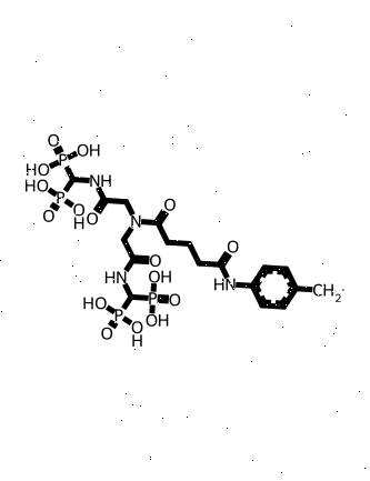 [CH2]c1ccc(NC(=O)CCCC(=O)N(CC(=O)NC(P(=O)(O)O)P(=O)(O)O)CC(=O)NC(P(=O)(O)O)P(=O)(O)O)cc1